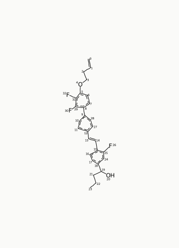 C=CCCOc1ccc(-c2ccc(/C=C/c3ccc(C(O)CCC)cc3F)cc2)c(F)c1F